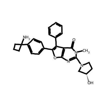 Cn1c(N2CC[C@H](O)C2)nc2oc(-c3ccc(C4(N)CCC4)cc3)c(-c3ccccc3)c2c1=O